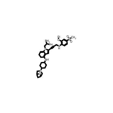 BC(P)Cn1c(C#CCNc2ccc(S(C)(=O)=O)cc2OCC)cc2c1=CCCC=2NC1CCC(N2CC3CC(C2)O3)CC1